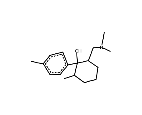 Cc1ccc(C2(O)C(C)CCCC2CN(C)C)cc1